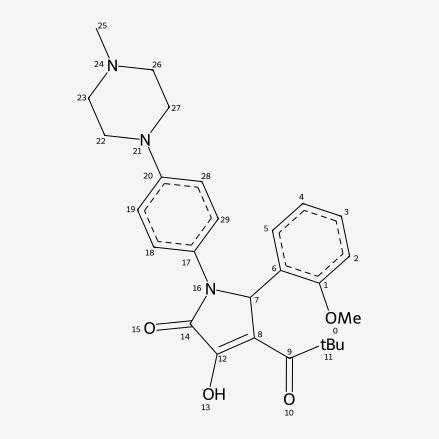 COc1ccccc1C1C(C(=O)C(C)(C)C)=C(O)C(=O)N1c1ccc(N2CCN(C)CC2)cc1